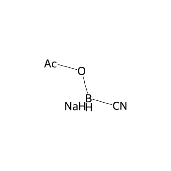 CC(=O)OBC#N.[NaH]